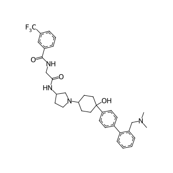 CN(C)Cc1ccccc1-c1ccc(C2(O)CCC(N3CCC(NC(=O)CNC(=O)c4cccc(C(F)(F)F)c4)C3)CC2)cc1